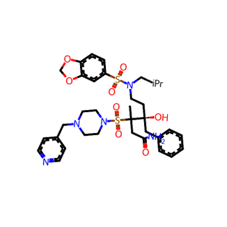 CC(C)CN(CC[C@](O)(Cc1ccccc1)C(C)(CC(N)=O)S(=O)(=O)N1CCN(Cc2ccncc2)CC1)S(=O)(=O)c1ccc2c(c1)OCO2